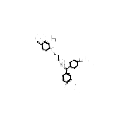 Cc1ccc(C(=NOCCCOc2ccc(CC(=O)O)cc2)c2ccc(C)cc2)cc1